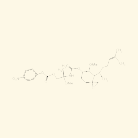 C=C(NC(C)(COC(=O)Oc1ccc([N+](=O)[O-])cc1)OC)OC1CC[C@]2(CO2)C([C@H](C)CCC=C(C)C)C1OC